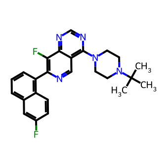 CC(C)(C)N1CCN(c2ncnc3c(F)c(-c4cccc5cc(F)ccc45)ncc23)CC1